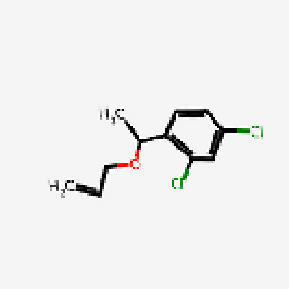 C=CCOC(C)c1ccc(Cl)cc1Cl